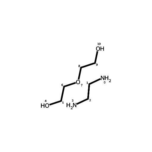 NCCN.OCCOCCO